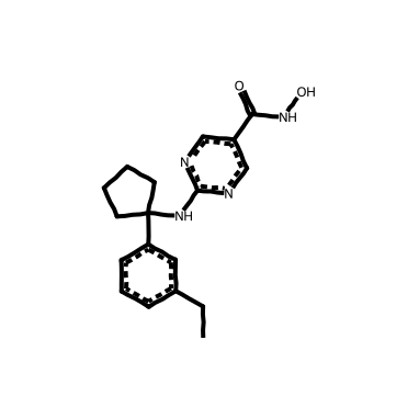 CCc1cccc(C2(Nc3ncc(C(=O)NO)cn3)CCCC2)c1